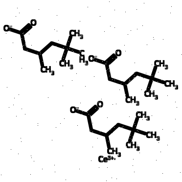 CC(CC(=O)[O-])CC(C)(C)C.CC(CC(=O)[O-])CC(C)(C)C.CC(CC(=O)[O-])CC(C)(C)C.[Ce+3]